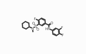 CN(C1CCCCC1)S(=O)(=O)c1cc(C(=O)Nc2ccc(F)c(F)c2)ccc1F